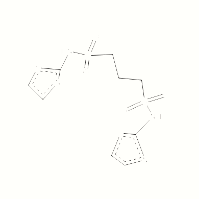 O=S(=O)(CCCS(=O)(=O)Nc1nccs1)Nc1nccs1